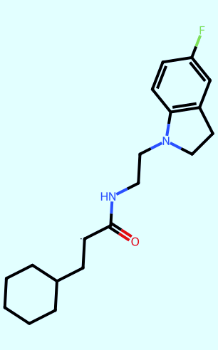 O=C([CH]CC1CCCCC1)NCCN1CCc2cc(F)ccc21